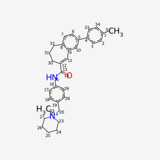 Cc1ccc(-c2ccc3c(c2)C=C(C(=O)Nc2ccc(C[N+]4(C)CCCCC4)cc2)CCC3)cc1